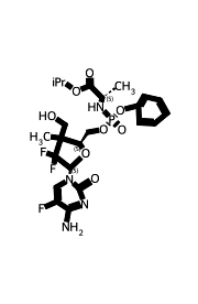 CC(C)OC(=O)[C@H](C)NP(=O)(OC[C@H]1O[C@H](n2cc(F)c(N)nc2=O)C(F)(F)C1(C)CO)Oc1ccccc1